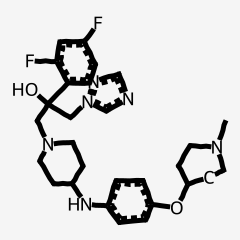 CN1CCC(Oc2ccc(NC3CCN(CC(O)(Cn4cncn4)c4ccc(F)cc4F)CC3)cc2)CC1